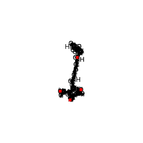 COc1ccc(CCC(OC(=O)[C@@H]2CCCCN2C(=O)Cc2cc(OC)c(OC)c(OC)c2)c2cccc(OCC(=O)NCCOCCOCCOCCNC(=O)COc3cccc4c3C(=O)N(C3CCC(=O)NC3=O)C4=O)c2)cc1OC